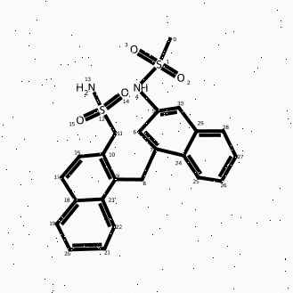 CS(=O)(=O)Nc1cc(Cc2c(CS(N)(=O)=O)ccc3ccccc23)c2ccccc2c1